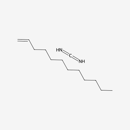 C=CCCCCCCCCCC.N=C=N